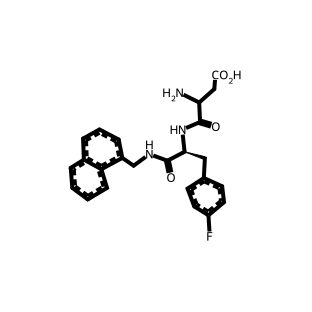 NC(CC(=O)O)C(=O)N[C@@H](Cc1ccc(F)cc1)C(=O)NCc1cccc2ccccc12